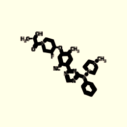 Cc1cc(-c2ncnc(N(c3ccccc3)N3CCN(C)CC3)n2)c(C#N)cc1O[C@H]1CCN(C(=O)[C@H](C)O)C[C@@H]1F